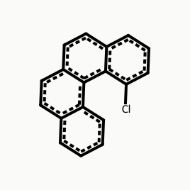 Clc1cccc2ccc3ccc4ccccc4c3c12